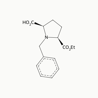 CCOC(=O)[C@@H]1CC[C@H](C(=O)O)N1Cc1ccccc1